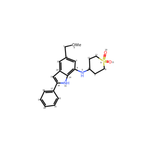 COCc1cc(NC2CCS(=O)(=O)CC2)c2[nH]c(-c3ccccc3)cc2c1